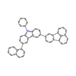 c1ccc(-n2c3ccc(-c4ccc5c(c4)-c4cccc6cccc-5c46)cc3c3cc(-c4cccc5ccccc45)ccc32)cc1